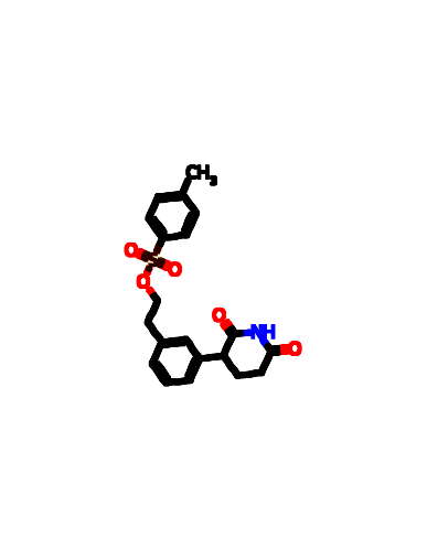 Cc1ccc(S(=O)(=O)OCCc2cccc(C3CCC(=O)NC3=O)c2)cc1